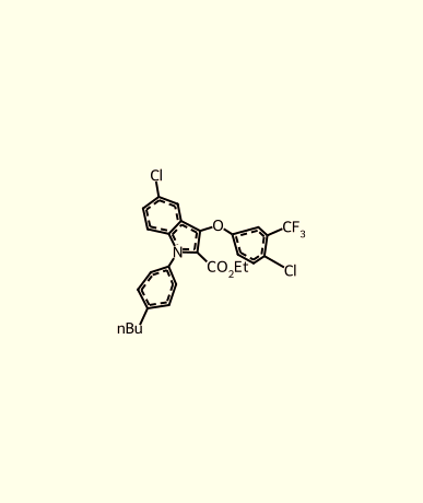 CCCCc1ccc(-n2c(C(=O)OCC)c(Oc3ccc(Cl)c(C(F)(F)F)c3)c3cc(Cl)ccc32)cc1